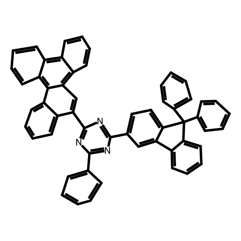 c1ccc(-c2nc(-c3ccc4c(c3)-c3ccccc3C4(c3ccccc3)c3ccccc3)nc(-c3cc4c5ccccc5c5ccccc5c4c4ccccc34)n2)cc1